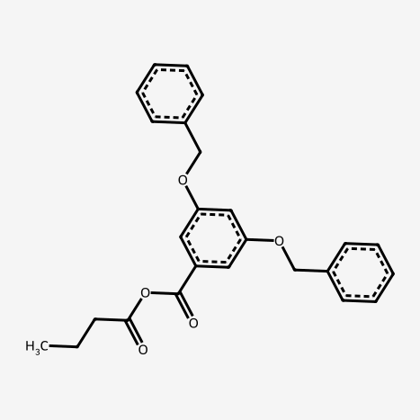 CCCC(=O)OC(=O)c1cc(OCc2ccccc2)cc(OCc2ccccc2)c1